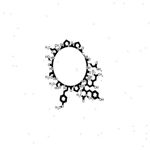 C/C=C1/NC(=O)[C@H](CO)NC(=O)[C@@H]([C@@H](C)CC)NC(=O)[C@@H]2CCCN2C(=O)[C@@H]2CCCN2C(=O)CNC(=O)[C@H](CCC(N)=O)NC(=O)C(O)C(CC(CC(O)C(O)CC(C)C)OC(=O)C(Cc2ccc(O)cc2)N(C)C(C)=O)NC(=O)[C@@H]2CCCN2C(=O)C(CCc2ccc(OC)cc2)NC(=O)[C@H]([C@@H](C)O)NC1=O